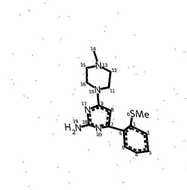 CSc1ccccc1-c1cc(N2CCN(C)CC2)nc(N)n1